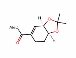 COC(=O)C1=C[C@H]2OC(C)(C)O[C@H]2CC1